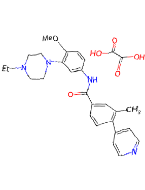 CCN1CCN(c2cc(NC(=O)c3ccc(-c4ccncc4)c(C)c3)ccc2OC)CC1.O=C(O)C(=O)O